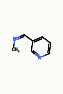 C/N=C\c1cccnc1